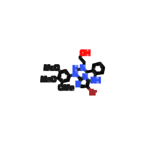 COc1cc(Nc2ncc(Br)c(Nc3ccccc3CN(C)CCO)n2)cc(OC)c1OC